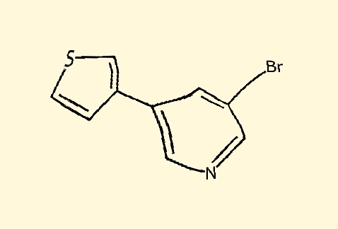 Brc1cncc(-c2ccsc2)c1